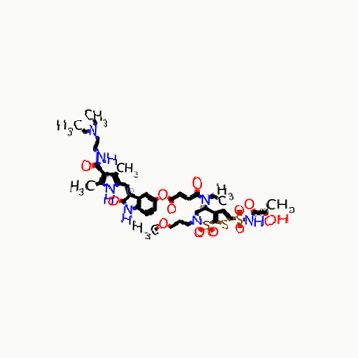 CCN(CC)CCNC(=O)c1c(C)[nH]c(/C=C2\C(=O)Nc3ccc(OC(=O)CCC(=O)N(CC)[C@H]4CN(CCCOC)S(=O)(=O)c5sc(S(=O)(=O)NC(=O)[C@H](C)O)cc54)cc32)c1C